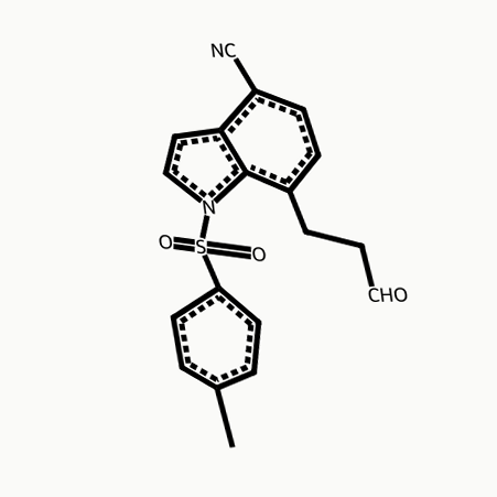 Cc1ccc(S(=O)(=O)n2ccc3c(C#N)ccc(CCC=O)c32)cc1